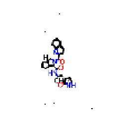 O=C[C@@H](C[C@@H]1CCNC1=O)NC(=O)[C@@H]1C2CCC[C@H]2CN1C(=O)c1ccc2ccccc2n1